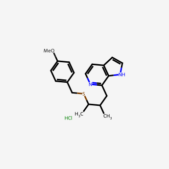 COc1ccc(CSC(C)C(C)Cc2nccc3cc[nH]c23)cc1.Cl